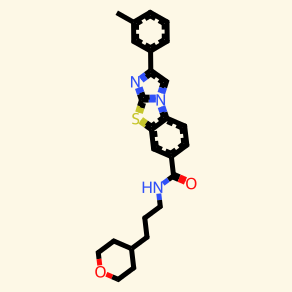 Cc1cccc(-c2cn3c(n2)sc2cc(C(=O)NCCCC4CCOCC4)ccc23)c1